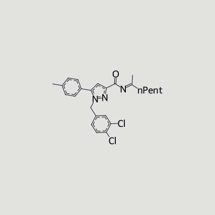 CCCCCC(C)=NC(=O)c1cc(-c2ccc(C)cc2)n(Cc2ccc(Cl)c(Cl)c2)n1